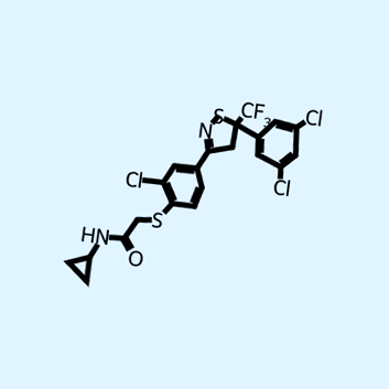 O=C(CSc1ccc(C2=NSC(c3cc(Cl)cc(Cl)c3)(C(F)(F)F)C2)cc1Cl)NC1CC1